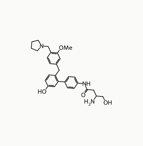 COc1cc(Cc2ccc(O)cc2-c2ccc(NC(=O)CC(N)CO)cc2)ccc1CN1CCCC1